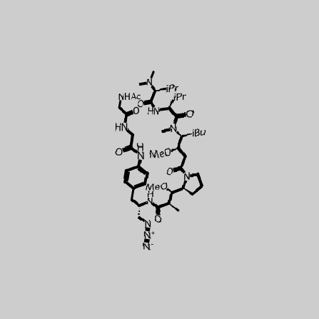 CC[C@H](C)[C@@H]([C@@H](CC(=O)N1CCC[C@H]1[C@H](OC)[C@@H](C)C(=O)N[C@H](CN=[N+]=[N-])Cc1ccc(NC(=O)CNC(=O)CNC(C)=O)cc1)OC)N(C)C(=O)[C@@H](NC(=O)[C@H](C(C)C)N(C)C)C(C)C